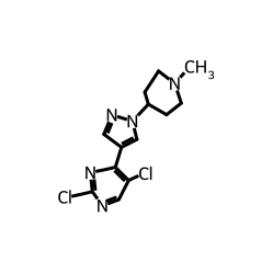 CN1CCC(n2cc(-c3nc(Cl)ncc3Cl)cn2)CC1